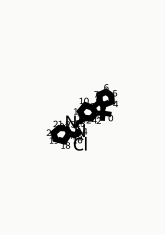 CC1(C)c2ccccc2-c2ccc(-c3nc(Cl)c4ccccc4n3)cc21